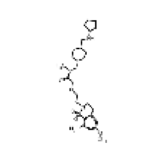 COc1cc(C)c2c(c1)CCN(CCOCC(=O)N(C)C[C@H]1CC[C@H](CNC3CCCC3)CC1)S2(=O)=O